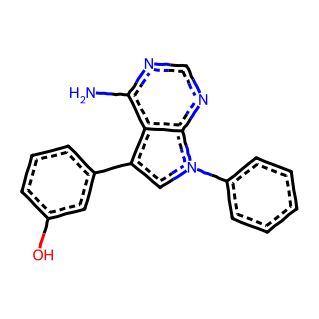 Nc1ncnc2c1c(-c1cccc(O)c1)cn2-c1ccccc1